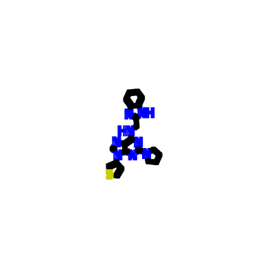 c1ccc2[nH]c(CNc3nc(N4CCCC4)nc4c3ncn4-c3ccsc3)nc2c1